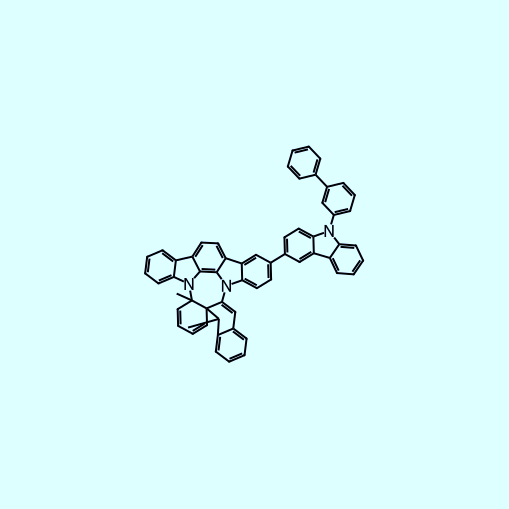 CC1c2ccccc2C=C2n3c4ccc(-c5ccc6c(c5)c5ccccc5n6-c5cccc(-c6ccccc6)c5)cc4c4ccc5c6ccccc6n(c5c43)C3(C)C=CC=CC213